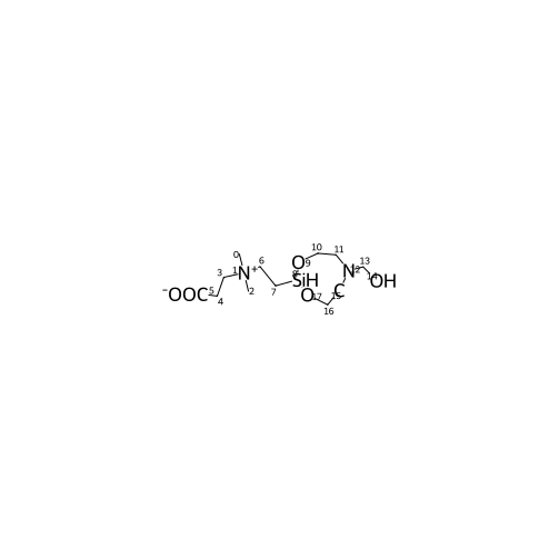 C[N+](C)(CCC(=O)[O-])CC[SiH]1OCCN(CO)CCO1